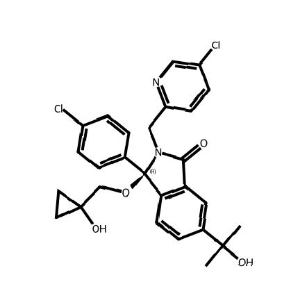 CC(C)(O)c1ccc2c(c1)C(=O)N(Cc1ccc(Cl)cn1)[C@@]2(OCC1(O)CC1)c1ccc(Cl)cc1